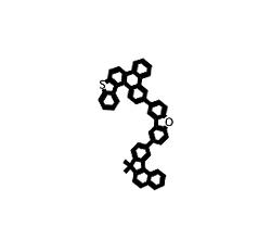 CC1(C)c2ccc(-c3ccc4oc5ccc(-c6ccc7c(c6)c6ccccc6c6ccc8sc9ccccc9c8c67)cc5c4c3)cc2-c2c1ccc1ccccc21